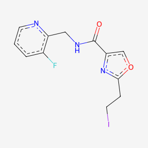 O=C(NCc1ncccc1F)c1coc(CCI)n1